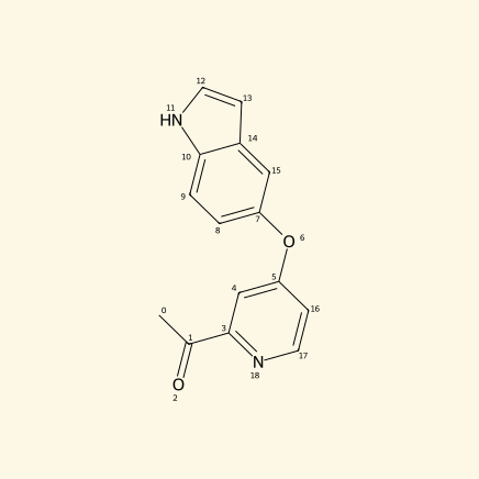 CC(=O)c1cc(Oc2ccc3[nH]ccc3c2)ccn1